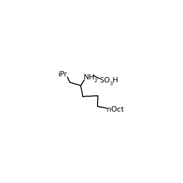 CCCCCCCCCCCC(N)CC(C)C.CS(=O)(=O)O